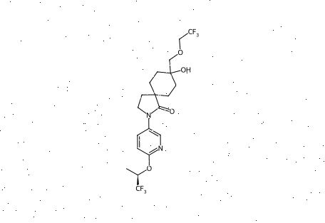 C[C@@H](Oc1ccc(N2CCC3(CCC(O)(COCC(F)(F)F)CC3)C2=O)cn1)C(F)(F)F